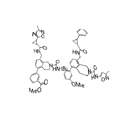 COC(=O)c1cccc(-c2ccc(CNC(=O)C3CC3c3nc(C)no3)c3c2CCN(C(=O)NC(C)(C)C)C3)c1.COc1cccc(-c2ccc(CNC(=O)C3CC3c3ccccc3)c3c2CCN(C(=O)Nc2cc(C)no2)C3)c1